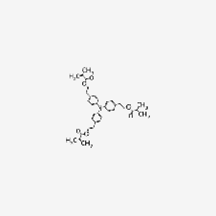 C=C(C)C(=O)OCCc1ccc(N(c2ccc(CCOC(=O)C(=C)C)cc2)c2ccc(CCOC(=O)C(=C)C)cc2)cc1